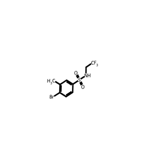 Cc1cc(S(=O)(=O)NCC(F)(F)F)ccc1Br